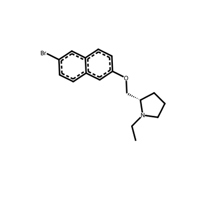 CCN1CCC[C@H]1COc1ccc2cc(Br)ccc2c1